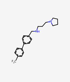 FC(F)(F)c1ccc(-c2ccc(CNCCCN3CCCC3)cc2)cc1